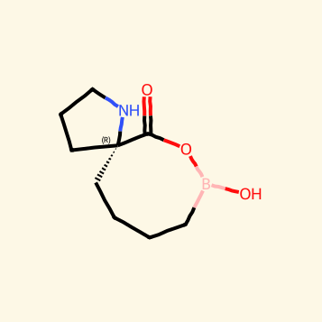 O=C1OB(O)CCCC[C@@]12CCCN2